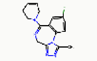 Cc1nnc2n1-c1ccc(F)cc1C(N1CC=CCC1)=NC2